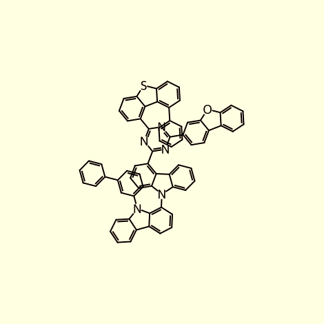 c1ccc(-c2cccc(-n3c4ccccc4c4cccc(-n5c6ccccc6c6c(-c7nc(-c8ccc9c(c8)oc8ccccc89)nc(-c8cccc9sc%10cccc(-c%11ccccc%11)c%10c89)n7)cccc65)c43)c2)cc1